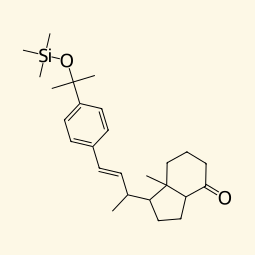 CC(C=Cc1ccc(C(C)(C)O[Si](C)(C)C)cc1)C1CCC2C(=O)CCCC21C